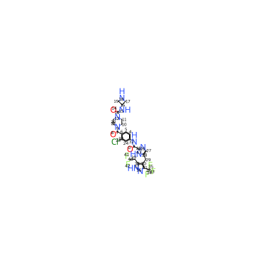 O=C(Nc1ccc(C(=O)N2CCN(C(=O)NC3CNC3)CC2)c(Cl)c1)c1ncc(Cc2c(C(F)(F)F)n[nH]c2CC(F)F)[nH]1